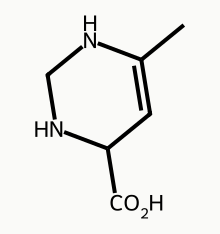 CC1=CC(C(=O)O)NCN1